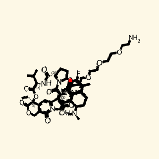 CC[C@@]1(OC(=O)[C@@H](NC(=O)[C@@H]2CCCN2C(=O)[C@H](CC(=O)O)NC(=O)CCOCCOCCOCCN)C(C)C)C(=O)OCc2c1cc1n(c2=O)Cc2c-1nc1cc(F)c(C)c3c1c2C(N(C)C)CC3